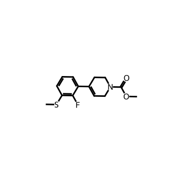 COC(=O)N1CC=C(c2cccc(SC)c2F)CC1